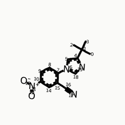 CC(C)(C)c1cn(-c2ccc([N+](=O)[O-])cc2C#N)cn1